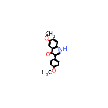 COc1ccc(-c2c[nH]c3ccc(OC)cc3c2=O)cc1